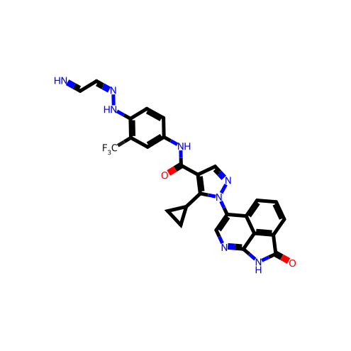 N=C/C=N\Nc1ccc(NC(=O)c2cnn(-c3cnc4c5c(cccc35)C(=O)N4)c2C2CC2)cc1C(F)(F)F